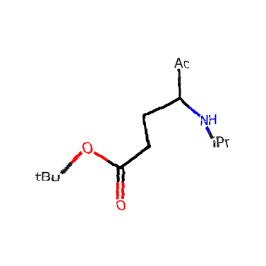 CC(=O)C(CCC(=O)OC(C)(C)C)NC(C)C